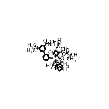 CNC(=O)c1cc(-c2cccc(CN3O[C@@H](CN=[N+]=[N-])[C@@H]([C@@H](C)OC(=O)N(C)C)[C@H]3C(=O)N[C@H]3C[C@H]4C[C@@H]([C@@H]3C)C4(C)C)c2C)cc(N(C)C)c1